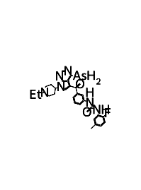 CCN1CCC(n2cc(C(=O)c3cccc(NC(=O)Nc4cc(C)ccc4F)c3)c3c([AsH2])ncnc32)CC1